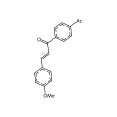 COc1ccc(/C=C/C(=O)c2ccc(C(C)=O)cc2)cc1